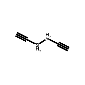 C#C[SiH2][SiH2]C#C